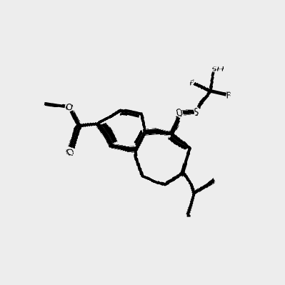 COC(=O)c1ccc2c(c1)CCC(C(C)C)C=C2OSC(F)(F)S